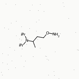 CC(C)N(C(C)C)C(C)CCON